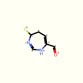 O=CC1=CCC(F)N=CN1